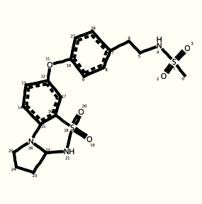 CS(=O)(=O)NCCc1ccc(Oc2ccc3c(c2)S(=O)(=O)NC2CCCN32)cc1